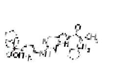 CN(C)C(=O)c1cc2cnc(Nc3ccc(C(=O)N4C5CCC4CC(O)C5)cn3)nc2n1C1CCCC1